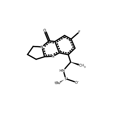 C[C@@H](N[S@+]([O-])C(C)(C)C)c1cc(F)cc2c(=O)n3c(nc12)CCC3